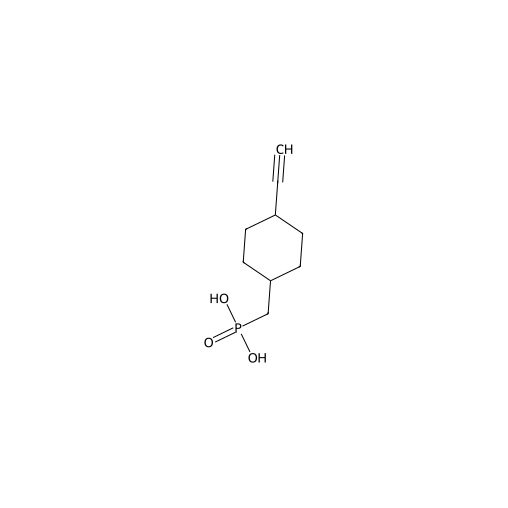 C#CC1CCC(CP(=O)(O)O)CC1